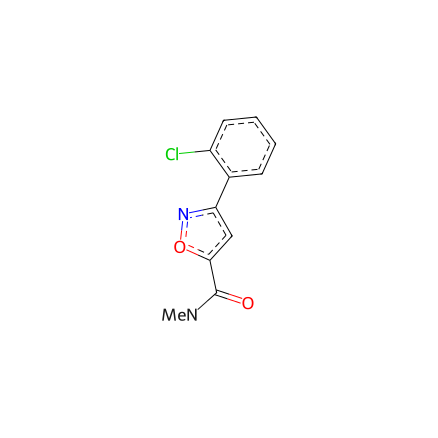 CNC(=O)c1cc(-c2ccccc2Cl)no1